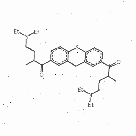 CCN(CC)CCC(C)C(=O)c1ccc2c(c1)Cc1cc(C(=O)C(C)CCN(CC)CC)ccc1S2